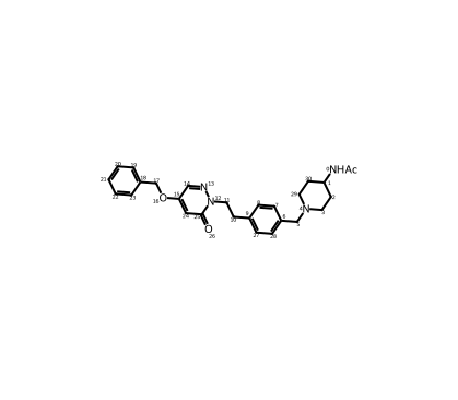 CC(=O)NC1CCN(Cc2ccc(CCn3ncc(OCc4ccccc4)cc3=O)cc2)CC1